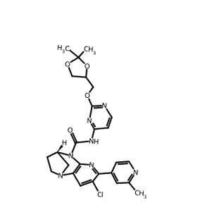 Cc1cc(-c2nc3c(cc2Cl)N2CC[C@@H](C2)N3C(=O)Nc2ccnc(OCC3COC(C)(C)O3)n2)ccn1